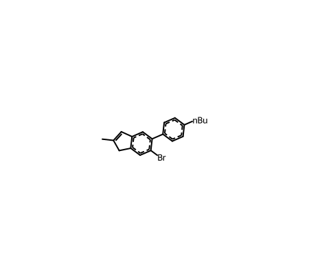 CCCCc1ccc(-c2cc3c(cc2Br)CC(C)=C3)cc1